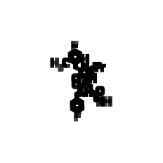 Cc1cc(F)ccc1C[C@H](NC(=O)C(C)C)C(=O)N[C@@H](CCC(=O)C=N)C(=O)NCc1ccc(F)cc1